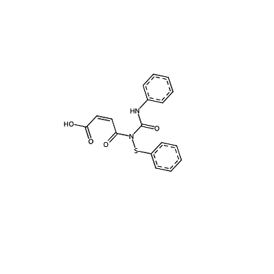 O=C(O)/C=C\C(=O)N(Sc1ccccc1)C(=O)Nc1ccccc1